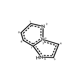 c1cn[n+]2cc[nH]c2c1